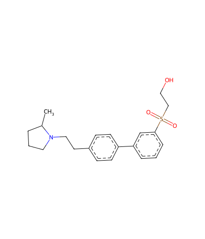 CC1CCCN1CCc1ccc(-c2cccc(S(=O)(=O)CCO)c2)cc1